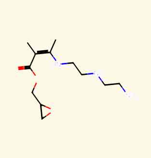 CC(NCCNCCN)=C(C)C(=O)OCC1CO1